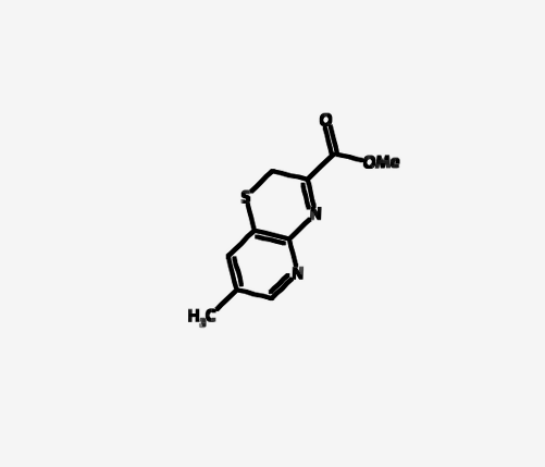 COC(=O)C1=Nc2ncc(C)cc2SC1